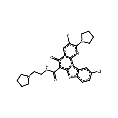 O=C(NCCN1CCCC1)c1c(=O)c2cc(F)c(N3CCCC3)nc2n2c1sc1ccc(Cl)cc12